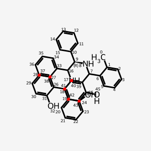 Cc1ccccc1C(N[C@H](c1ccccc1)C(NC(c1ccccc1O)c1ccccc1O)c1ccccc1)c1ccccc1O